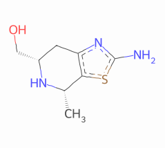 C[C@@H]1N[C@H](CO)Cc2nc(N)sc21